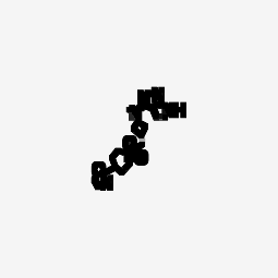 CN(c1ncnc2[nH]ccc12)[C@H]1C[C@@H](CS(=O)(=O)N2CCC(c3ncco3)CC2)C1